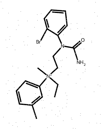 CC[N+](C)(CCN(C(N)=O)c1ccccc1Br)c1cccc(C)c1